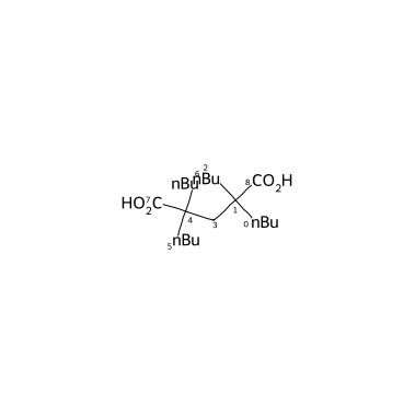 CCCCC(CCCC)(CC(CCCC)(CCCC)C(=O)O)C(=O)O